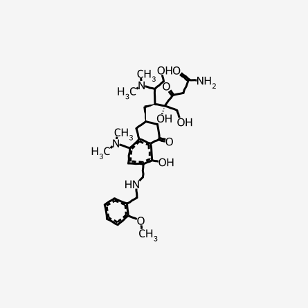 COc1ccccc1CNCc1cc(N(C)C)c2c(c1O)C(=O)C[C@H](C[C@@H](C(CO)N(C)C)[C@](O)(CO)C(=O)CC(N)=O)C2